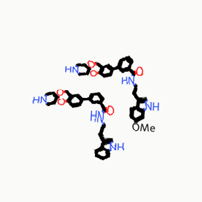 COc1ccc2c(CCNC(=O)c3cccc(-c4ccc5c(c4)COC4(CCNCC4)O5)c3)c[nH]c2c1.O=C(NCCc1c[nH]c2ccccc12)c1cccc(-c2ccc3c(c2)COC2(CCNCC2)O3)c1